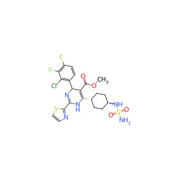 COC(=O)C1=C([C@H]2CC[C@H](NS(N)(=O)=O)CC2)NC(c2nccs2)=NC1c1ccc(F)c(F)c1Cl